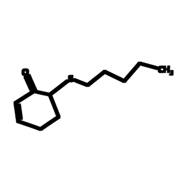 CCCCCSC1CCC=CC1=O